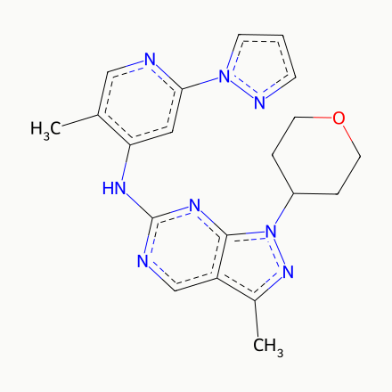 Cc1cnc(-n2cccn2)cc1Nc1ncc2c(C)nn(C3CCOCC3)c2n1